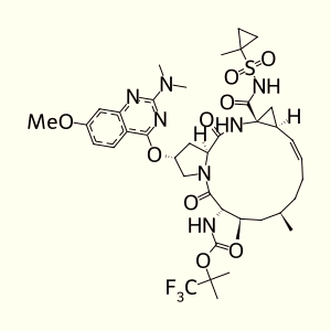 COc1ccc2c(O[C@@H]3C[C@H]4C(=O)N[C@]5(C(=O)NS(=O)(=O)C6(C)CC6)C[C@H]5C=CCC[C@@H](C)C[C@@H](C)[C@H](NC(=O)OC(C)(C)C(F)(F)F)C(=O)N4C3)nc(N(C)C)nc2c1